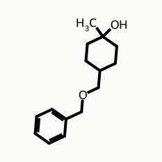 CC1(O)CCC(COCc2ccccc2)CC1